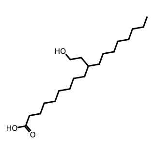 CCCCCCCCC(CCO)CCCCCCCCC(=O)O